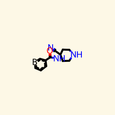 N#CC1(NC(=O)c2cbccc2)CCNCC1